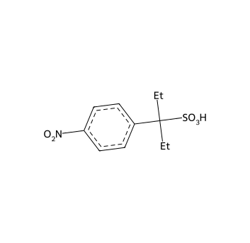 CCC(CC)(c1ccc([N+](=O)[O-])cc1)S(=O)(=O)O